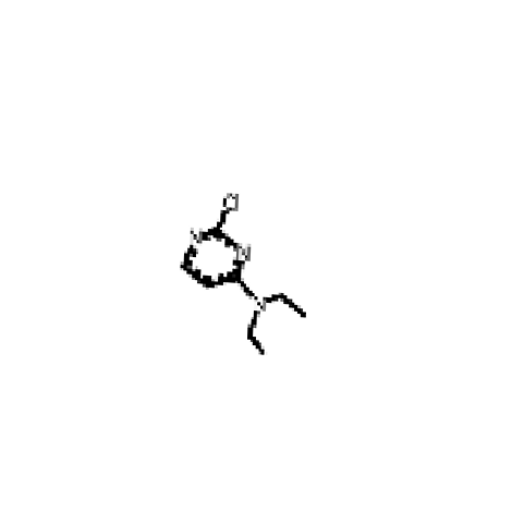 CCN(CC)c1ccnc(Cl)n1